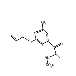 C=CCOc1cc(C(F)(F)F)cc(C(=O)C(C)NC(=O)O)n1